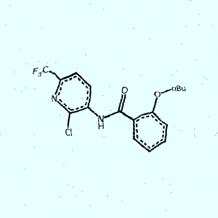 CCCCOc1ccccc1C(=O)Nc1ccc(C(F)(F)F)nc1Cl